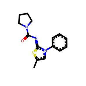 Cc1cn(-c2ccccc2)c(=NC(=O)N2CCCC2)s1